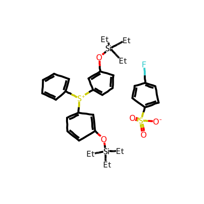 CC[Si](CC)(CC)Oc1cccc([S+](c2ccccc2)c2cccc(O[Si](CC)(CC)CC)c2)c1.O=S(=O)([O-])c1ccc(F)cc1